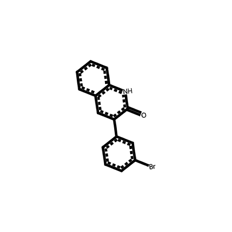 O=c1[nH]c2ccccc2cc1-c1cccc(Br)c1